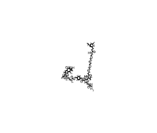 C=Cc1cc(C)nc(CCC(=O)NCCOCCOCCOCCOCCC(=O)N[C@H](C(=O)N[C@@H](CCCNC(N)=O)C(=O)Nc2ccc(COC(=O)N(C)CCN(C)C(=O)OC3C4=C(C)C5(CC5)C(C)(O)C(=O)C4=CC3(C)COC(C)=O)cc2)C(C)C)c1